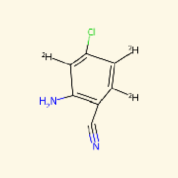 [2H]c1c([2H])c(C#N)c(N)c([2H])c1Cl